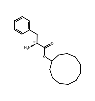 N[C@@H](Cc1ccccc1)C(=O)OC1CCCCCCCCCC1